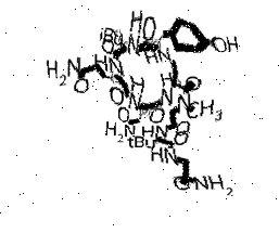 CC[C@H](C)[C@@H]1NC(=O)[C@H](Cc2ccc(O)cc2)NCC[C@@H](C(=O)N(C)CC(=O)N[C@H](C(=O)NCC(N)=O)C(C)(C)C)NC(=O)[C@H](CC(N)=O)NC(=O)[C@H](CCC(N)=O)NC1=O